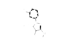 CCNC1=NN(c2cccc(C(F)(F)F)c2)CC1C.Cl